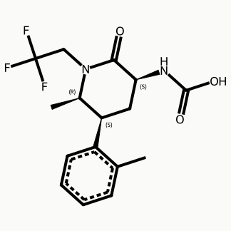 Cc1ccccc1[C@@H]1C[C@H](NC(=O)O)C(=O)N(CC(F)(F)F)[C@@H]1C